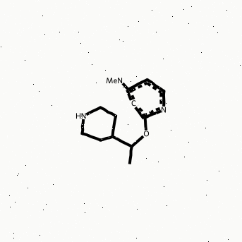 CNc1ccnc(OC(C)C2CCNCC2)c1